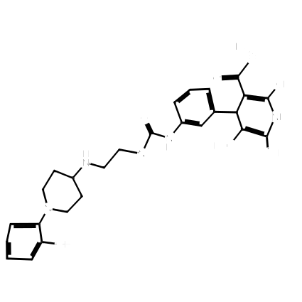 COC(=O)C1=C(C)NC(C)=C(C)C1c1cccc(NC(=O)NCCNC2CCN(c3ccccc3O)CC2)c1